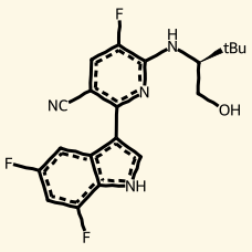 CC(C)(C)[C@@H](CO)Nc1nc(-c2c[nH]c3c(F)cc(F)cc23)c(C#N)cc1F